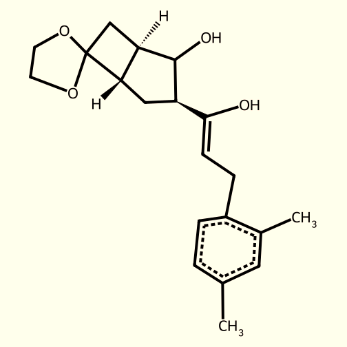 Cc1ccc(CC=C(O)[C@H]2C[C@H]3[C@@H](CC34OCCO4)C2O)c(C)c1